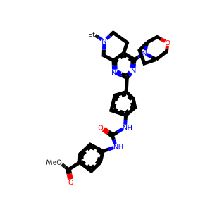 CCN1CCc2c(nc(-c3ccc(NC(=O)Nc4ccc(C(=O)OC)cc4)cc3)nc2N2C3CCC2COC3)C1